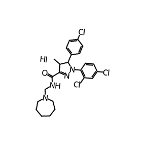 CC1C(C(=O)NCN2CCCCCC2)=NN(c2ccc(Cl)cc2Cl)C1c1ccc(Cl)cc1.I